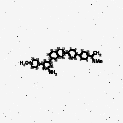 C=C(NC)c1ccc(-c2ccc(N3CCc4ccc(-c5cc(N6CCN(C)CC6)nc(N)n5)cc4C3)nc2)cc1